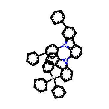 c1ccc(-c2ccc(-n3c4cc(-c5ccccc5)ccc4c4cccc(-n5c6ccccc6c6c([Si](c7ccccc7)(c7ccccc7)c7ccccc7)cccc65)c43)cc2)cc1